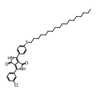 CCCCCCCCCCCCCCCCCCSc1ccc(C2=C3C(=O)NC(c4cccc(Cl)c4)=C3C(=O)N2)cc1